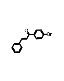 O=C(C=Cc1ccccc1)c1ccc(Br)cc1